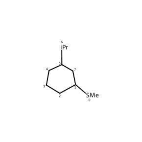 CSC1CCCC(C(C)C)C1